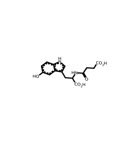 O=C(O)CCC(=O)NC(Cc1c[nH]c2ccc(O)cc12)C(=O)O